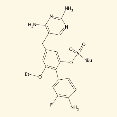 CCOc1cc(Cc2cnc(N)nc2N)cc(OS(=O)(=O)C(C)CC)c1-c1ccc(N)c(F)c1